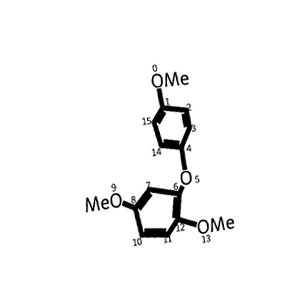 COc1ccc(Oc2cc(OC)ccc2OC)cc1